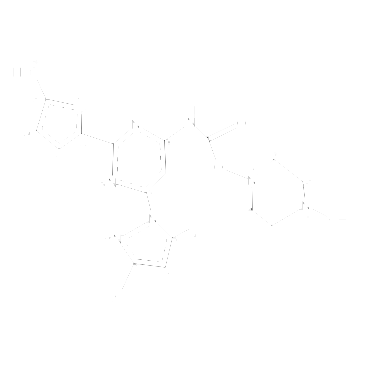 Cc1cc(C)n(-c2cc(NC(=O)ON3CCN(C)CC3)nc(-c3ccc(C)o3)n2)n1